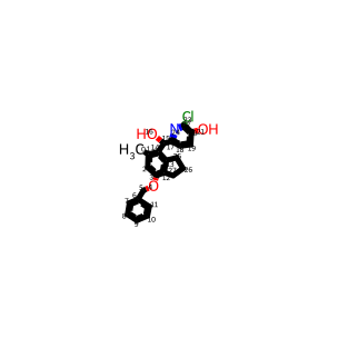 Cc1cc(OCc2ccccc2)c2c(c1C(O)c1ccc(O)c(Cl)n1)CCC2